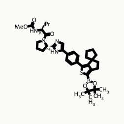 COC(=O)N[C@H](C(=O)N1CCC[C@H]1c1ncc(-c2ccc(-c3sc(B4OC(C)(C)C(C)(C)O4)c4c3C3(CCCC3)CC4)cc2)[nH]1)C(C)C